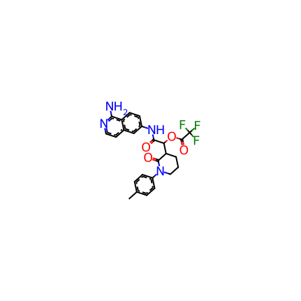 Cc1ccc(N2CCCC(C(OC(=O)C(F)(F)F)C(=O)Nc3ccc4c(N)nccc4c3)C2=O)cc1